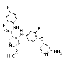 CSc1ncc(C(=O)Nc2ccc(F)cc2F)c(Nc2ccc(Oc3ccnc(N)c3)c(F)c2)n1